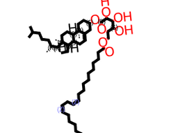 CCCCC/C=C\C/C=C\CCCCCCCCCC(=O)OCC1O[C@@H](O[C@H]2CC[C@@]3(C)C(=CC[C@H]4[C@@H]5CC[C@H]([C@H](C)CCCC(C)C)[C@@]5(C)CC[C@@H]43)C2)C(O)C(O)[C@@H]1O